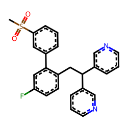 CS(=O)(=O)c1cccc(-c2cc(F)ccc2CC(c2cccnc2)c2cccnc2)c1